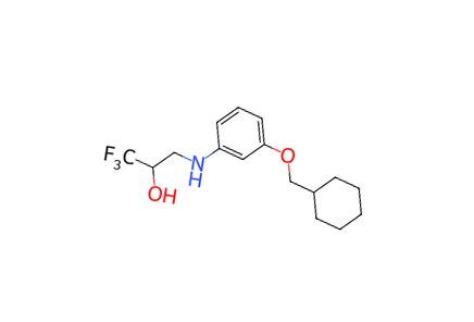 OC(CNc1cccc(OCC2CCCCC2)c1)C(F)(F)F